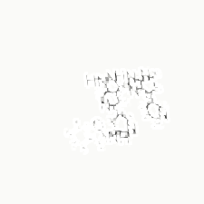 O=C(CC1CCCCC1)Nc1cncc(-c2cc3c(-c4nc5c(-c6cccnc6)ccnc5[nH]4)n[nH]c3cn2)c1